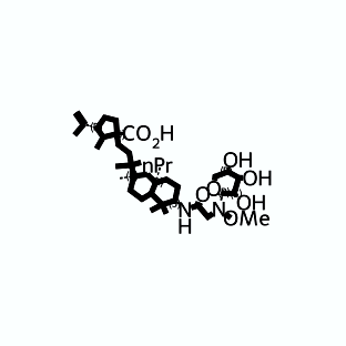 C=C(C)[C@@H]1CC[C@@](CCC(C)(C)[C@]2(C)CCC3C(C)(C)[C@@H](NC(=O)CN(OC)[C@@H]4OC[C@@H](O)C(O)[C@@H]4O)CC[C@]3(C)C2CCC)(C(=O)O)C1C